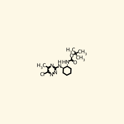 Cc1nc(N[C@@H]2CCCC[C@H]2NC(=O)OC(C)(C)C)nnc1Cl